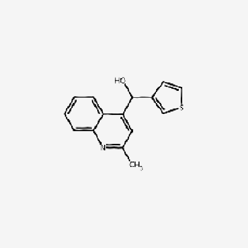 Cc1cc(C(O)c2ccsc2)c2ccccc2n1